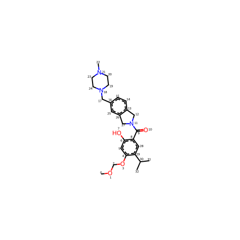 COCOc1cc(O)c(C(=O)N2Cc3ccc(CN4CCN(C)CC4)cc3C2)cc1C(C)C